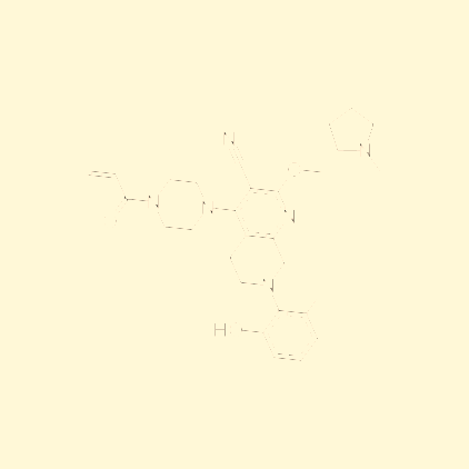 C=CC(=O)N1CCN(c2c(C#N)c(OC[C@@H]3CCCN3C)nc3c2CCN(c2c(O)cccc2F)C3)CC1